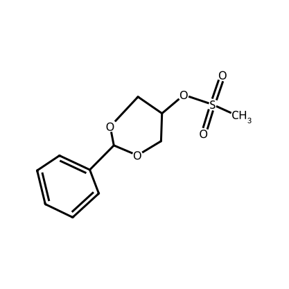 CS(=O)(=O)OC1COC(c2ccccc2)OC1